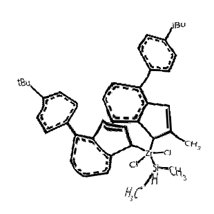 CCC(C)c1ccc(-c2cccc3c2C=C(C)[CH]3[Zr]([Cl])([Cl])([CH]2C=Cc3c(-c4ccc(C(C)(C)C)cc4)cccc32)[SiH](C)C)cc1